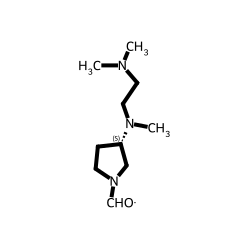 CN(C)CCN(C)[C@H]1CCN([C]=O)C1